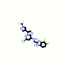 Fc1ccc2[nH]c(CNc3cc(Cl)nn4c(-c5cnn(C(F)F)c5)cnc34)nc2c1F